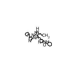 C=C/C=c1/[nH]nc(-c2nc3c(N4CCCCC4)cncc3[nH]2)/c1=C/Cc1cncc(NC(=O)C2CCCCCC2)c1